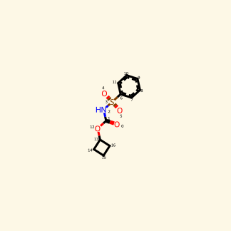 O=C(NS(=O)(=O)c1ccccc1)OC1CCC1